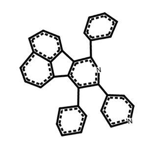 c1ccc(-c2nc(-c3ccncc3)c(-c3ccccc3)c3c2-c2cccc4cccc-3c24)cc1